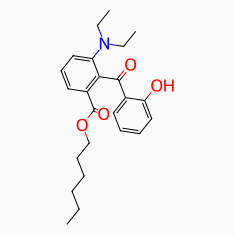 CCCCCCOC(=O)c1cccc(N(CC)CC)c1C(=O)c1ccccc1O